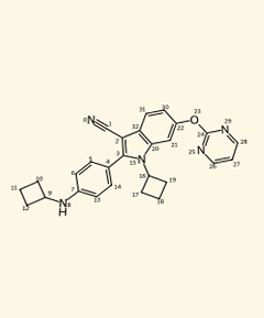 N#Cc1c(-c2ccc(NC3CCC3)cc2)n(C2CCC2)c2cc(Oc3ncccn3)ccc12